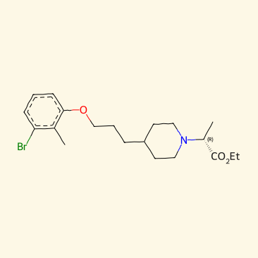 CCOC(=O)[C@@H](C)N1CCC(CCCOc2cccc(Br)c2C)CC1